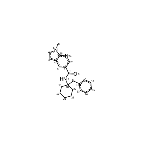 Cn1ccc2cc(C(=O)NC3(Cc4ccccc4)CCCCC3)cnc21